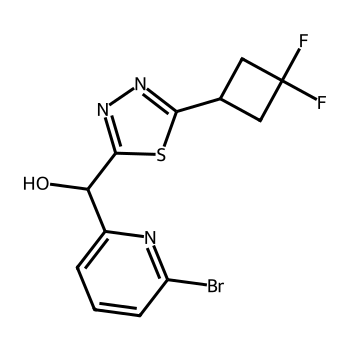 OC(c1cccc(Br)n1)c1nnc(C2CC(F)(F)C2)s1